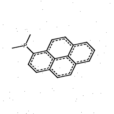 CP(C)c1ccc2ccc3cccc4ccc1c2c34